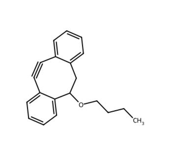 CCCCOC1Cc2ccccc2C#Cc2ccccc21